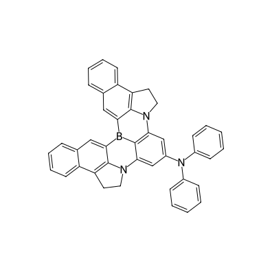 c1ccc(N(c2ccccc2)c2cc3c4c(c2)N2CCc5c2c(cc2ccccc52)B4c2cc4ccccc4c4c2N3CC4)cc1